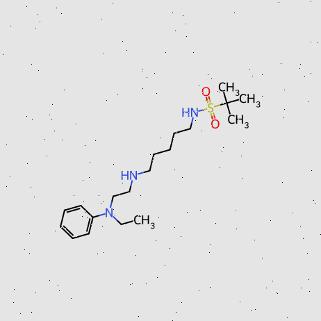 CCN(CCNCCCCCNS(=O)(=O)C(C)(C)C)c1ccccc1